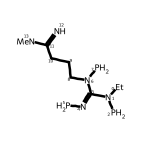 CCN(P)C(=NP)N(P)CCCC(=N)NC